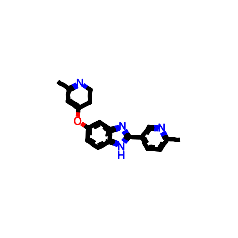 CC1=NCCC(Oc2ccc3[nH]c(-c4ccc(C)nc4)nc3c2)=C1